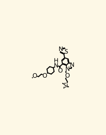 COCCOC1CCC(NC(=O)c2cc(-c3cncs3)cc3ncn(COCC[Si](C)(C)C)c23)CC1